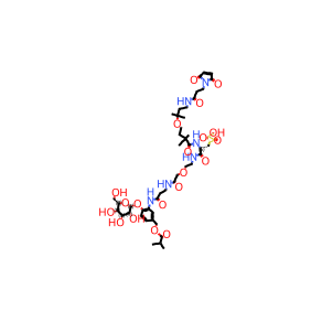 CC(C)C(=O)OCc1ccc(O[C@@H]2O[C@H](CO)[C@H](O)[C@H](O)[C@H]2O)c(NC(=O)CCNC(=O)COCCNC(=O)[C@@H](CS(=O)(=O)O)NC(=O)C(C)(C)CCOC(C)(C)CCNC(=O)CCN2C(=O)C=CC2=O)c1